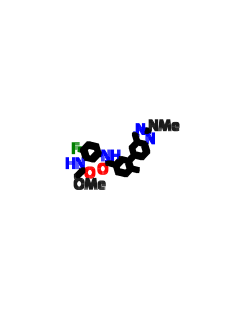 CNC1=NC2=CC=C(c3cc(C(=O)Nc4ccc(F)c(NC(=O)COC)c4)ccc3C)CC2C=N1